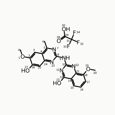 COc1cc2c(C)nc(Nc3nc(O)c4cccc(OC)c4n3)nc2cc1O.O=C(O)C(F)(F)F